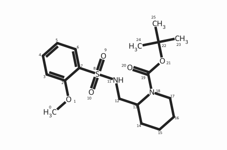 COc1ccccc1S(=O)(=O)NCC1CCCCN1C(=O)OC(C)(C)C